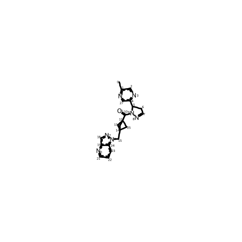 Cc1cnc(C2CC=NN2C(=O)C23CC(Cn4ncc5ncccc54)(C2)C3)cn1